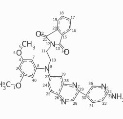 COc1cc(OC)cc(N(CCN2C(=O)c3ccccc3C2=O)c2ccc3ncc(-c4ccc(N)nc4)nc3c2)c1